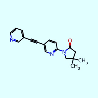 CC1(C)CC(=O)N(c2ccc(C#Cc3cccnc3)cn2)C1